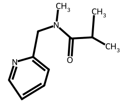 CC(C)C(=O)N(C)Cc1ccccn1